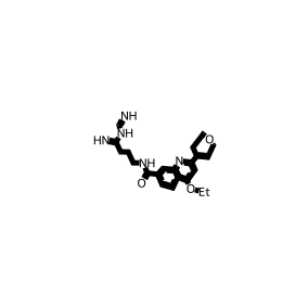 CCOc1cc(C2=CCOCC2)nc2cc(C(=O)NCCCC(=N)NC=N)ccc12